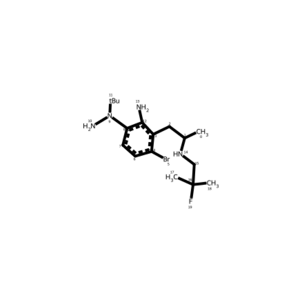 CC(Cc1c(Br)ccc(N(N)C(C)(C)C)c1N)NCC(C)(C)F